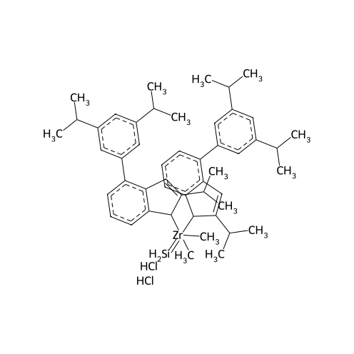 CC(C)C1=Cc2c(-c3cc(C(C)C)cc(C(C)C)c3)cccc2[CH]1[Zr]([CH3])([CH3])(=[SiH2])[CH]1C(C(C)C)=Cc2c(-c3cc(C(C)C)cc(C(C)C)c3)cccc21.Cl.Cl